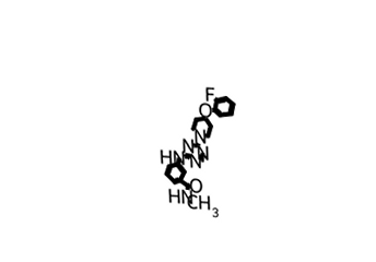 CNC(=O)c1cccc(Nc2ncnc(N3CCC(Oc4ccccc4F)CC3)n2)c1